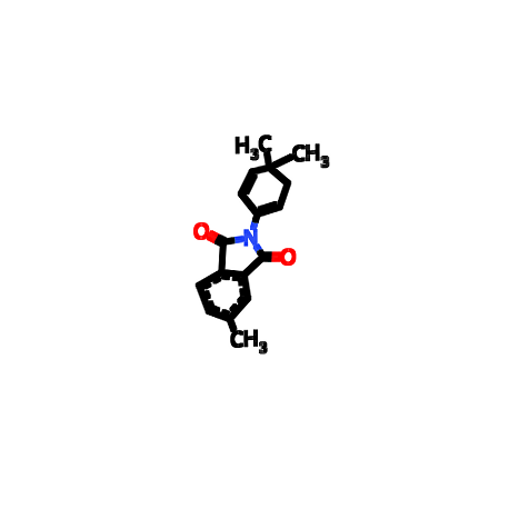 Cc1ccc2c(c1)C(=O)N(C1=CCC(C)(C)C=C1)C2=O